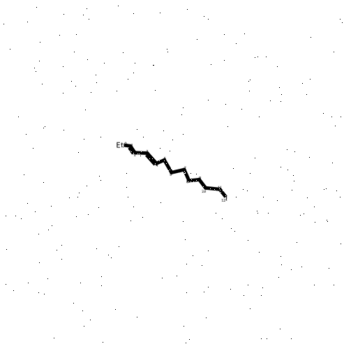 CCC=CC=CCCCCCCCI